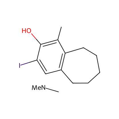 CNC.Cc1c(O)c(I)cc2c1CCCCC2